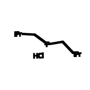 CC(C)C[P]CC(C)C.Cl